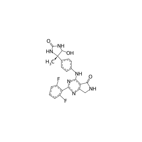 C[C@@]1(c2ccc(Nc3nc(-c4c(F)cccc4F)nc4c3C(=O)NC4)cc2)NC(=O)NC1O